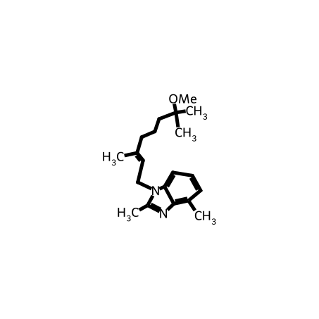 COC(C)(C)CCC/C(C)=C/Cn1c(C)nc2c(C)cccc21